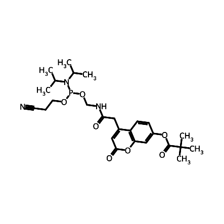 CC(C)N(C(C)C)P(OCCC#N)OCNC(=O)Cc1cc(=O)oc2cc(OC(=O)C(C)(C)C)ccc12